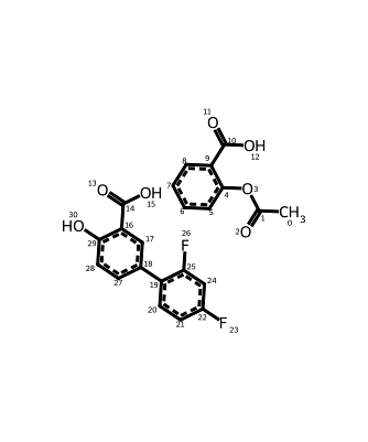 CC(=O)Oc1ccccc1C(=O)O.O=C(O)c1cc(-c2ccc(F)cc2F)ccc1O